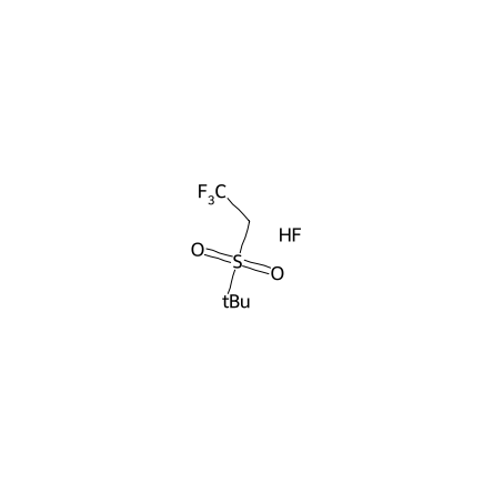 CC(C)(C)S(=O)(=O)CC(F)(F)F.F